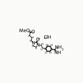 COC(=O)CCCN1CCN(CCc2ccc(C(=N)N)cc2)C1=O.Cl